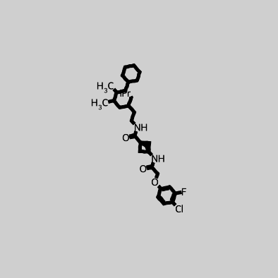 CC(C)CC(CCNC(=O)C12CC(NC(=O)COc3ccc(Cl)c(F)c3)(C1)C2)CC(C)C(C)CC1CCCCC1